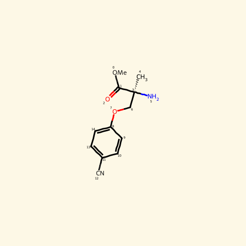 COC(=O)[C@@](C)(N)COc1ccc(C#N)cc1